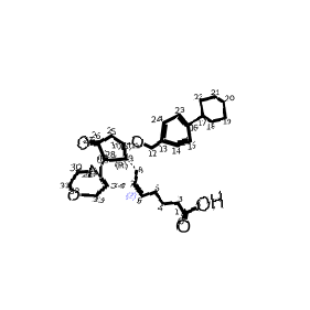 O=C(O)CCC/C=C\C[C@H]1[C@@H](OCc2ccc(C3CCCCC3)cc2)CC(=O)[C@@H]1N1CCOCC1